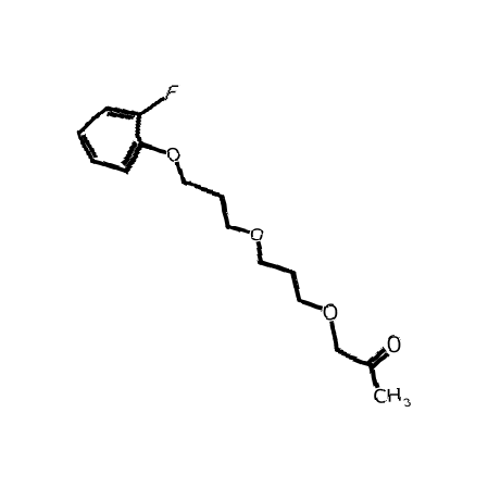 CC(=O)COCCCOCCCOc1ccccc1F